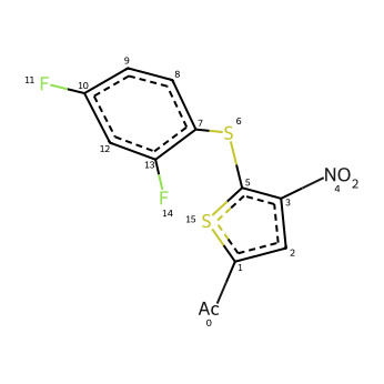 CC(=O)c1cc([N+](=O)[O-])c(Sc2ccc(F)cc2F)s1